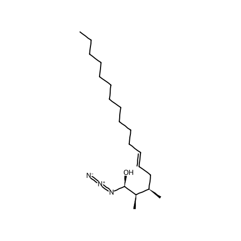 CCCCCCCCCCCC=CC[C@@H](C)[C@@H](C)[C@H](O)N=[N+]=[N-]